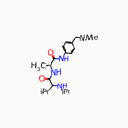 CNCc1ccc(NC(=O)[C@H](C)NC(=O)C(NC(C)C)C(C)C)cc1